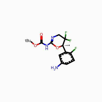 CC(C)(C)OC(=O)NC1=NCC(F)(F)[C@@](C)(c2cc(N)ccc2F)O1